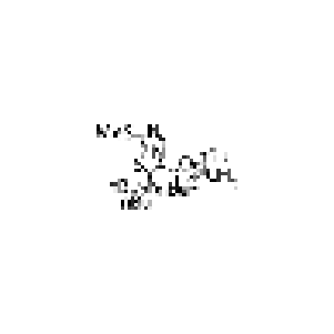 CCC[CH2][Sn]([CH2]CCC)([CH2]CCC)[c]1sc2c(SC)ncn2c1CO[Si](C)(C)C(C)(C)C